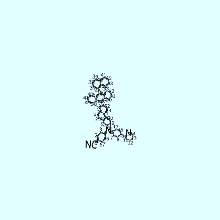 N#Cc1ccc(N(c2ccc(-c3ccccn3)cc2)c2ccc3c(ccc4cc(-c5c6ccccc6c(-c6cccc7ccccc67)c6ccccc56)ccc43)c2)cc1